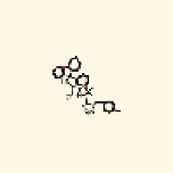 Cc1ccc(Cn2nnnc2C2N3C(=O)C(NC(c4ccccc4)(c4ccccc4)c4ccccc4F)C3SC2(C)C)cc1